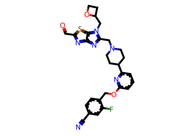 N#Cc1ccc(COc2cccc(C3CCN(Cc4nc5nc(C=O)sc5n4CC4CCO4)CC3)n2)c(F)c1